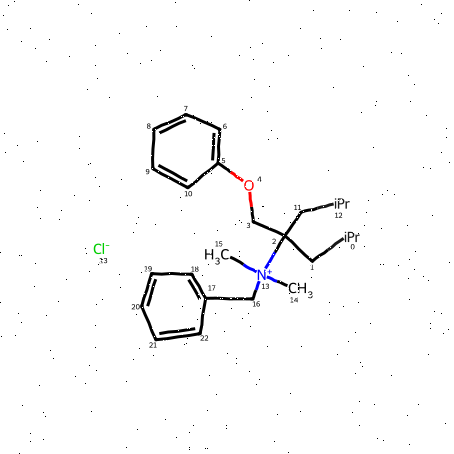 CC(C)CC(COc1ccccc1)(CC(C)C)[N+](C)(C)Cc1ccccc1.[Cl-]